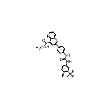 CNC(=O)c1cc(-c2ccc(NC(=O)Nc3ccc(F)c(C(F)(F)F)c3)cc2)nc2cccnc12